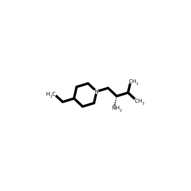 CCC1CCN(C[C@@H](N)C(C)C)CC1